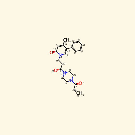 C=CC(=O)N1CCN(C(=O)CCn2cc(-c3ccccc3)c(C)cc2=O)CC1